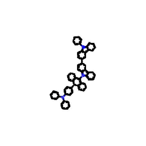 c1ccc(N(c2ccccc2)c2ccc(-c3c4ccccc4c(-n4c5ccccc5c5cc(-c6ccc7c(c6)c6ccccc6n7-c6ccccc6)ccc54)c4ccccc34)cc2)cc1